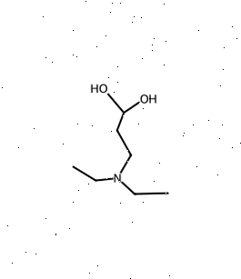 CCN(CC)CCC(O)O